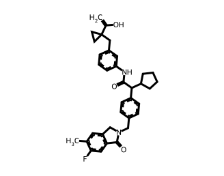 C=C(O)C1(Cc2cccc(NC(=O)C(c3ccc(CN4Cc5cc(C)c(F)cc5C4=O)cc3)C3CCCC3)c2)CC1